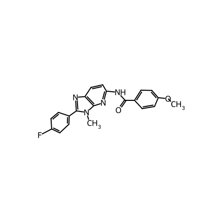 COc1ccc(C(=O)Nc2ccc3nc(-c4ccc(F)cc4)n(C)c3n2)cc1